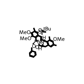 COc1c(C)cc2c(c1C)[C@@H]1C3=Cc4c(O[Si](C)(C)C(C)(C)C)c(C)c(OC)c(OC)c4[C@H](COCc4ccccc4)N3C(=O)[C@@H](C2)N1C